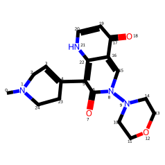 CN1CC=C(c2c(=O)n(N3CCOCC3)cc3c(=O)cc[nH]c23)CC1